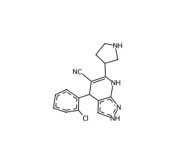 N#CC1=C(C2CCNC2)Nc2n[nH]cc2C1c1ccccc1Cl